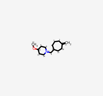 C=C1CCCC(CN2CCC(OC)CC2)CC1